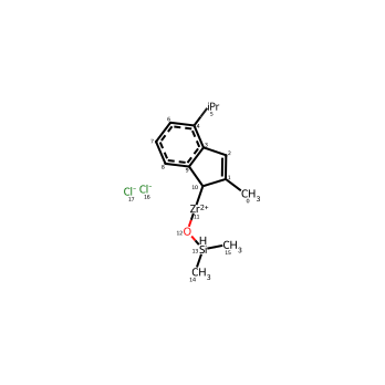 CC1=Cc2c(C(C)C)cccc2[CH]1[Zr+2][O][SiH](C)C.[Cl-].[Cl-]